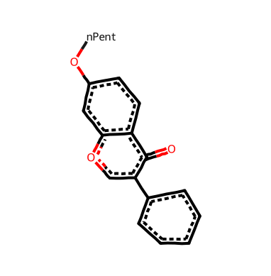 CCCCCOc1ccc2c(=O)c(-c3ccccc3)coc2c1